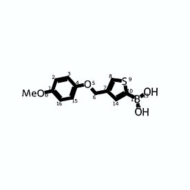 COc1ccc(OCc2csc(B(O)O)c2)cc1